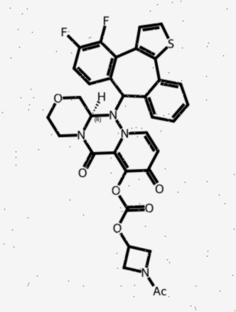 CC(=O)N1CC(OC(=O)Oc2c3n(ccc2=O)N(C2c4ccccc4-c4sccc4-c4c2ccc(F)c4F)[C@@H]2COCCN2C3=O)C1